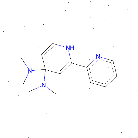 CN(C)C1(N(C)C)C=CNC(c2ccccn2)=C1